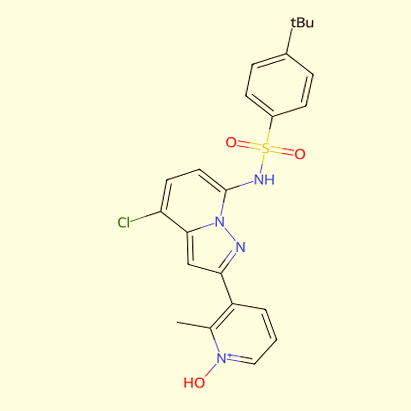 Cc1c(-c2cc3c(Cl)ccc(NS(=O)(=O)c4ccc(C(C)(C)C)cc4)n3n2)ccc[n+]1O